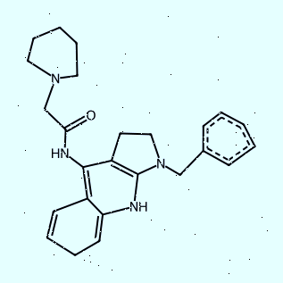 O=C(CN1CCCCC1)NC1=C2C=CCC=C2NC2=C1CCN2Cc1ccccc1